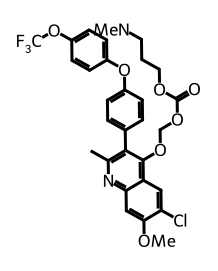 CNCCCOC(=O)OCOc1c(-c2ccc(Oc3ccc(OC(F)(F)F)cc3)cc2)c(C)nc2cc(OC)c(Cl)cc12